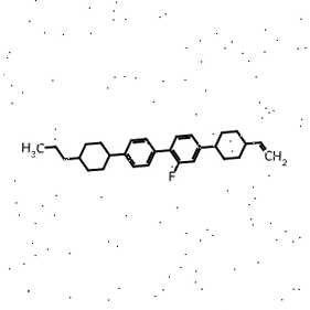 C=CC1CCC(c2ccc(-c3ccc(C4CCC(CCC)CC4)cc3)c(F)c2)CC1